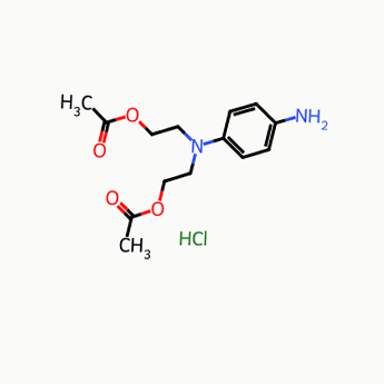 CC(=O)OCCN(CCOC(C)=O)c1ccc(N)cc1.Cl